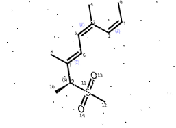 C\C=C/C(C)=C\C=C(/C)[C@H](C)S(C)(=O)=O